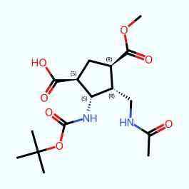 COC(=O)[C@@H]1C[C@H](C(=O)O)[C@@H](NC(=O)OC(C)(C)C)[C@H]1CNC(C)=O